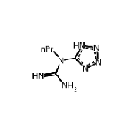 CCCN(C(=N)N)c1nnn[nH]1